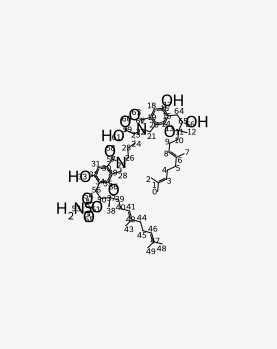 CC(C)=CCC/C(C)=C/CCC1(C)Oc2c(c(O)cc3c2CN([C@H](CCCN2Cc4c(cc(O)c5c4O[C@](C)(CC/C=C(\C)CCC=C(C)C)[C@@H](OS(N)(=O)=O)C5)C2=O)C(=O)O)C3=O)C[C@@H]1O